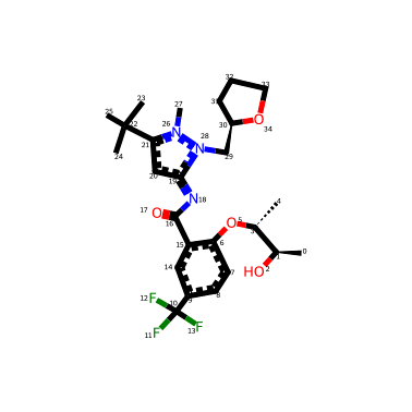 C[C@@H](O)[C@@H](C)Oc1ccc(C(F)(F)F)cc1C(=O)/N=c1\cc(C(C)(C)C)n(C)n1C[C@H]1CCCO1